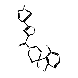 O=C(C1C=C(c2cn[nH]c2)SC1)N1CCC(O)(c2c(Cl)cccc2Cl)CC1